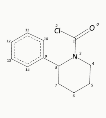 O=C(Cl)N1CCCCC1c1ccccc1